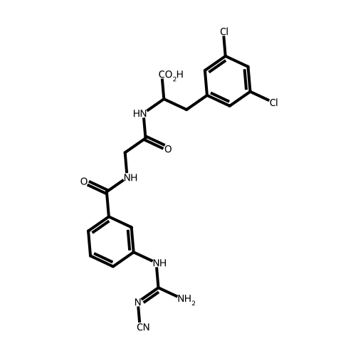 N#CN=C(N)Nc1cccc(C(=O)NCC(=O)NC(Cc2cc(Cl)cc(Cl)c2)C(=O)O)c1